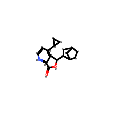 O=C1OC(C2CC3CCC2C3)c2c(C3CC3)ccnc21